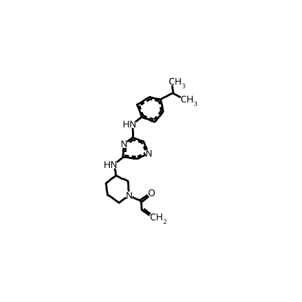 C=CC(=O)N1CCCC(Nc2cncc(Nc3ccc(C(C)C)cc3)n2)C1